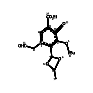 CCCCOc1c(C2OC(C)O2)n(CC=O)cc(C(=O)OCC)c1=O